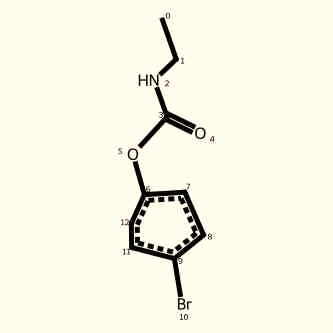 CCNC(=O)Oc1ccc(Br)cc1